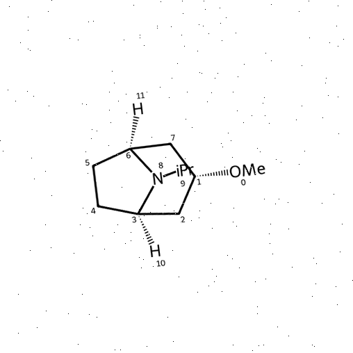 CO[C@@H]1C[C@H]2CC[C@@H](C1)N2C(C)C